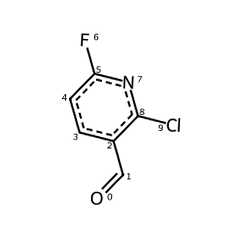 O=Cc1ccc(F)nc1Cl